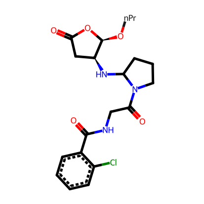 CCCO[C@@H]1OC(=O)C[C@@H]1NC1CCCN1C(=O)CNC(=O)c1ccccc1Cl